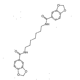 O=C(NCCCCCCCNC(=O)c1ccc2c(c1)OCO2)c1ccc2c(c1)OCO2